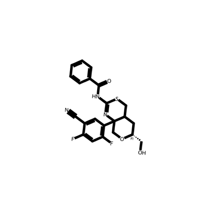 N#Cc1cc(C23CO[C@@H](CO)CC2CSC(NC(=O)c2ccccc2)=N3)c(F)cc1F